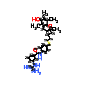 Cc1c(C)c2c(c(C)c1O)CCC(C)(CCCCSc1ccc(NC(=O)c3cccc(NC(=N)N)c3)cc1)O2